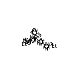 CCOc1cncc(-c2ccc(NC(=O)C3(c4ccnc(NS(=O)(=O)CC)n4)CCOCC3)nc2)n1